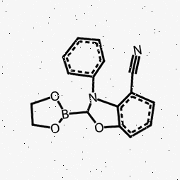 N#Cc1cccc2c1N(c1ccccc1)C(B1OCCO1)O2